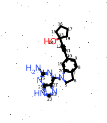 Nc1nc(N2CCc3ccc(C#CC4(O)CCCC4)cc32)c2nc[nH]c2n1